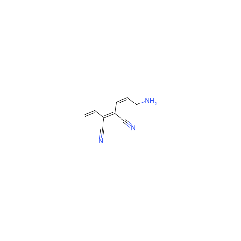 C=C/C(C#N)=C(C#N)\C=C/CN